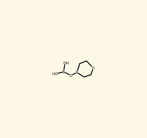 OB(O)ON1CCOCC1